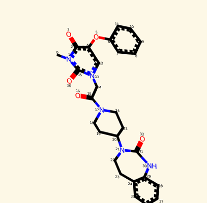 Cn1c(=O)c(Oc2ccccc2)cn(CC(=O)N2CCC(N3CCc4ccccc4NC3=O)CC2)c1=O